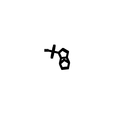 O=S(=O)(O)C1C=CC2C3C=CC(C3)C21